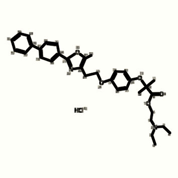 CCN(CC)CCOC(=O)C(C)(C)Oc1ccc(OCCc2nc(-c3ccc(-c4ccccc4)cc3)oc2C)cc1.Cl